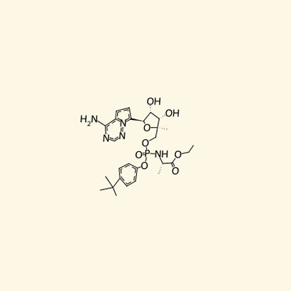 CCOC(=O)[C@H](C)NP(=O)(OC[C@@]1(C)O[C@@H](c2ccc3c(N)ncnn23)[C@H](O)[C@@H]1O)Oc1ccc(C(C)(C)C)cc1